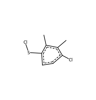 Cc1c(Cl)ccc(SCl)c1C